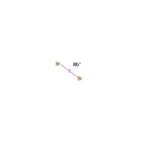 Br[I-]Br.[Rb+]